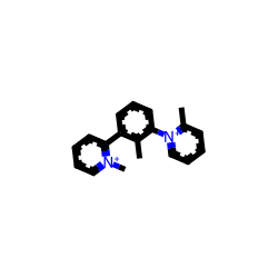 Cc1c(-c2cccc[n+]2C)cccc1-[n+]1ccccc1C